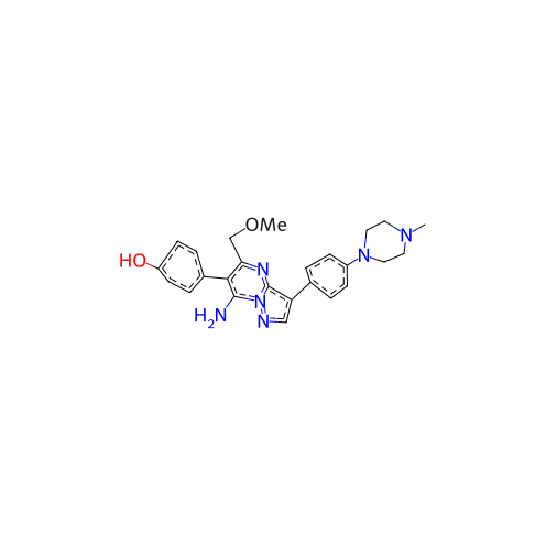 COCc1nc2c(-c3ccc(N4CCN(C)CC4)cc3)cnn2c(N)c1-c1ccc(O)cc1